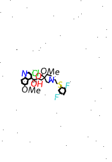 COC(=O)C1(CC[C@H](O)c2c(Cl)cnc3ccc(OC)cc23)CCN(CCSc2cc(F)ccc2F)CC1